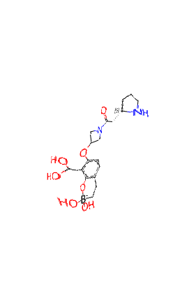 O=C(C[C@@H]1CCCN1)N1CC(Oc2ccc3c(c2C(O)O)O[B-](O)(O)CC3)C1